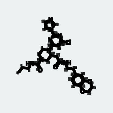 CCCNC(=O)N1CCN(c2cc(Cl)nc(-n3ccnc3)n2)C(CC(=O)NCCc2ccc3c(c2)OCCO3)C1